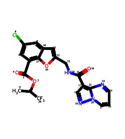 CC(OC(=O)c1cc(Cl)cc2cc(CNC(=O)c3cnn4cccnc34)oc12)C(F)(F)F